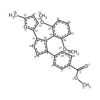 COC(=O)c1ccc(-c2nnc(-c3ccc(C)o3)n2-c2c(OC)cccc2OC)cc1